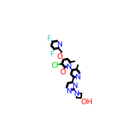 Cc1cnc(-c2ccnc(N3CC(O)C3)n2)cc1-n1c(C)cc(OCc2ncc(F)cc2F)c(Cl)c1=O